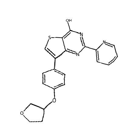 Oc1nc(-c2ccccn2)nc2c(-c3ccc(OC4CCOC4)cc3)csc12